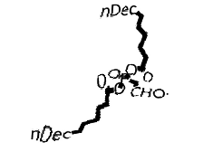 CCCCCCCCCCCCCCCC(=O)OP(=O)(C[C]=O)OC(=O)CCCCCCCCCCCCCCC